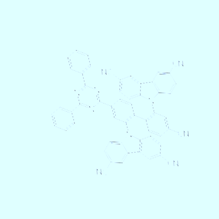 N#Cc1ccc(-c2ccc(-c3nc(-c4ccccc4)nc(-c4ccccc4)n3)cc2-n2c3ccc(C#N)cc3c3cc(C#N)ccc32)c(-n2c3ccc(C#N)cc3c3cc(C#N)ccc32)c1